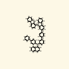 c1ccc(-c2ccc(N(c3cccc(-c4ccc(-c5ccc6c7ccccc7n(-c7cccc8c7oc7ccccc78)c6c5)cc4)c3)c3cccc4ccccc34)cc2)cc1